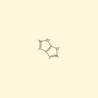 c1noc2oncc12